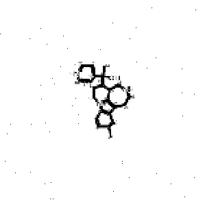 Cc1ccc2c(c1)c1c3n2CCC(C(C)(O)c2ccncc2)C3CNCC1